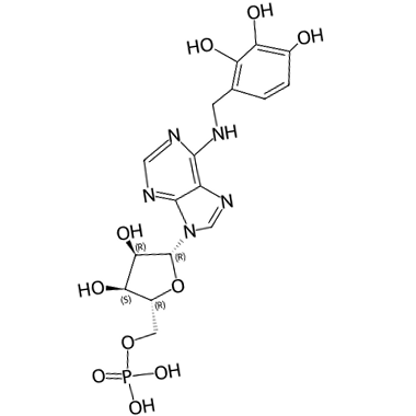 O=P(O)(O)OC[C@H]1O[C@@H](n2cnc3c(NCc4ccc(O)c(O)c4O)ncnc32)[C@H](O)[C@@H]1O